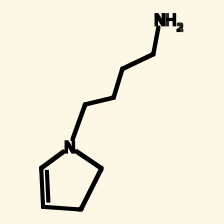 NCCCCN1C=CCC1